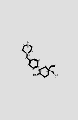 C=C[C@]1(CO)CCC(S)[C@H](c2ccc(CN3CCNCC3)cc2)C1